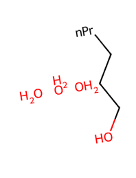 CCCCCCO.O.O.O